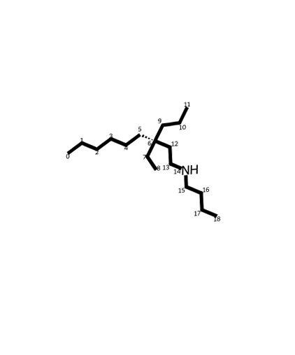 CCCCCC[C@](CC)(CCC)CCNCCCC